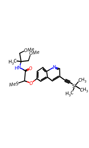 COCC(C)(COC)NC(=O)C(Oc1ccc2ncc(C#C[Si](C)(C)C)cc2c1)SC